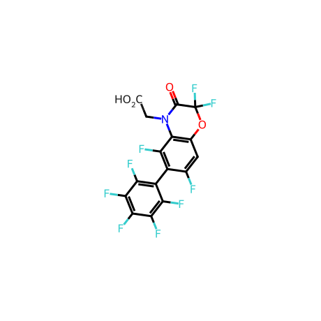 O=C(O)CN1C(=O)C(F)(F)Oc2cc(F)c(-c3c(F)c(F)c(F)c(F)c3F)c(F)c21